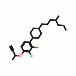 C#CC(C)Oc1ccc(C2CCC(CCCC(C)CCC)CC2)c(F)c1F